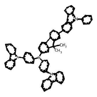 CC1(C)c2cc(-c3ccc4c(c3)c3ccccc3n4-c3ccccc3)ccc2-c2ccc(N(c3ccc(-n4c5ccccc5c5ccccc54)cc3)c3ccc(-n4c5ccccc5c5ccccc54)cc3)cc21